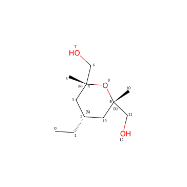 CC[C@@H]1C[C@](C)(CO)O[C@](C)(CO)C1